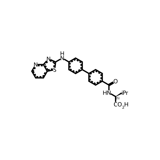 CC(C)[C@H](NC(=O)c1ccc(-c2ccc(Nc3nc4ncccc4s3)cc2)cc1)C(=O)O